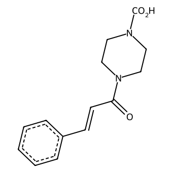 O=C(O)N1CCN(C(=O)C=Cc2ccccc2)CC1